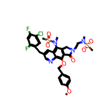 COc1ccc(COc2c3c(c(N(C)S(C)(=O)=O)c4cc(Cc5cc(Cl)c(F)cc5F)cnc24)CN(CCN(C)S(C)(=O)=O)C3=O)cc1